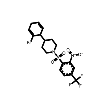 O=[N+]([O-])c1cc(C(F)(F)F)ccc1S(=O)(=O)N1CCC(C2C=CCC=C2Br)CC1